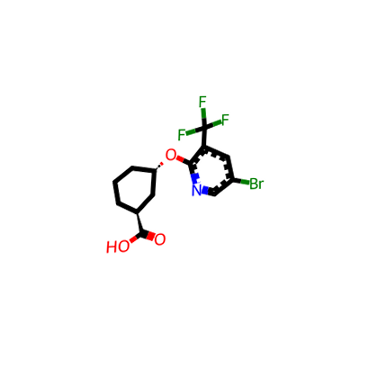 O=C(O)[C@H]1CCC[C@H](Oc2ncc(Br)cc2C(F)(F)F)C1